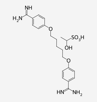 CC(O)S(=O)(=O)O.N=C(N)c1ccc(OCCCCCOc2ccc(C(=N)N)cc2)cc1